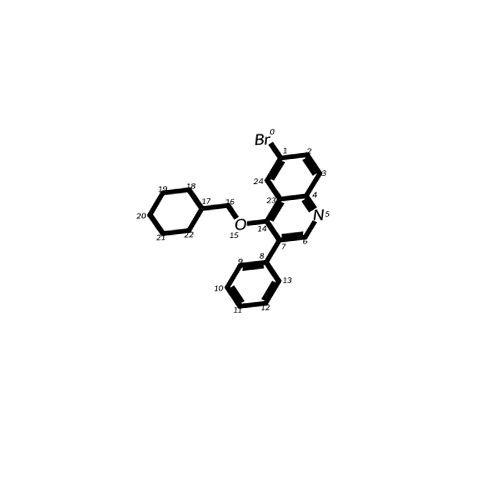 Brc1ccc2ncc(-c3ccccc3)c(OCC3CCCCC3)c2c1